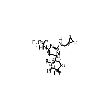 CC(Nc1nc(NCC2CC2)nc(C2=C(F)C(=O)C(F)(F)CC2)n1)C(F)(F)F